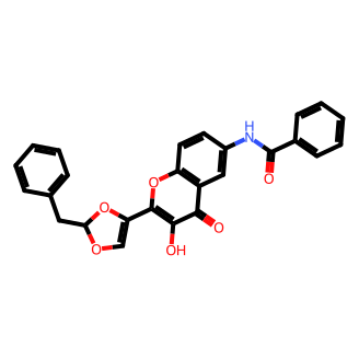 O=C(Nc1ccc2oc(C3=COC(Cc4ccccc4)O3)c(O)c(=O)c2c1)c1ccccc1